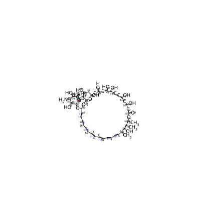 C[C@@H]1[C@H](O)[C@@H](C)/C=C/C=C/C=C/C=C/C=C/C=C/C=C/C(OC2O[C@H](C)[C@@H](O)[C@H](N)[C@H]2O)C[C@@H]2O[C@](O)(C[C@@H](O)C[C@@H](O)[C@H](O)CC[C@@H](O)C[C@@H](O)CC(=O)O[C@H]1C)C[C@H](O)[C@H]2C(=O)O